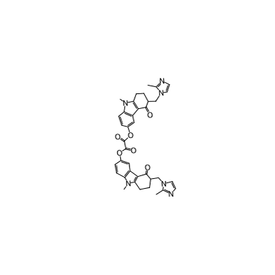 Cc1nccn1CC1CCc2c(c3cc(OC(=O)C(=O)Oc4ccc5c(c4)c4c(n5C)CCC(Cn5ccnc5C)C4=O)ccc3n2C)C1=O